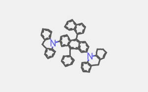 C1=CC2=C(CC1)N(c1ccc3c(-c4cccc5ccccc45)c4ccc(N5c6ccccc6Cc6ccccc65)cc4c(-c4ccccc4)c3c1)c1ccccc1C2